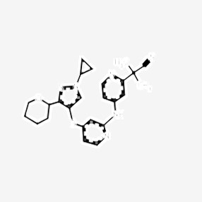 CC(C)(C#N)c1cc(Nc2cc(Oc3cn(C4CC4)nc3C3CCCCO3)ccn2)ccn1